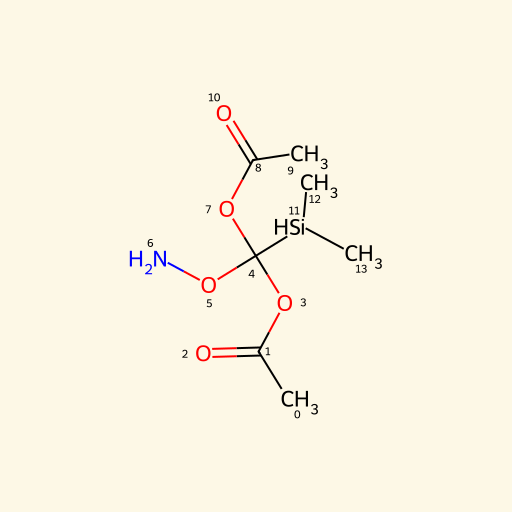 CC(=O)OC(ON)(OC(C)=O)[SiH](C)C